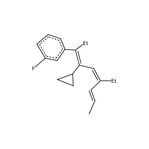 C/C=C/C(=C\C(=C(/CC)c1cccc(F)c1)C1CC1)CC